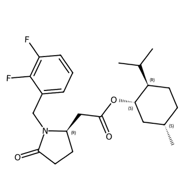 CC(C)[C@H]1CC[C@H](C)C[C@@H]1OC(=O)C[C@H]1CCC(=O)N1Cc1cccc(F)c1F